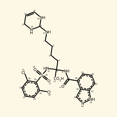 O=C(NC(CCCCNC1NC=CCN1)(NS(=O)(=O)c1c(Cl)cccc1Cl)C(=O)O)c1cccc2[nH]ncc12